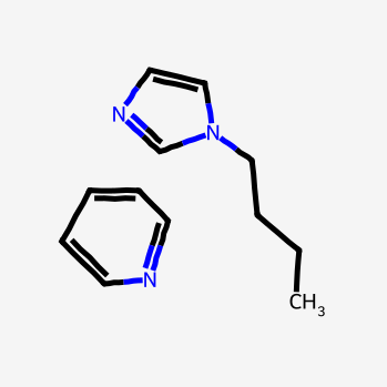 CCCCn1ccnc1.c1ccncc1